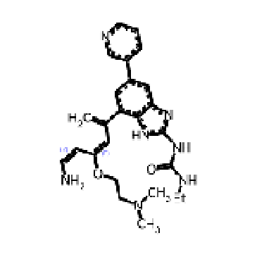 C=C(/C=C(\C=C/N)OCCN(C)C)c1cc(-c2cccnc2)cc2nc(NC(=O)NCC)[nH]c12